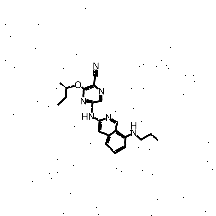 CCCNc1cccc2cc(Nc3cnc(C#N)c(O[C@H](C)CC)n3)ncc12